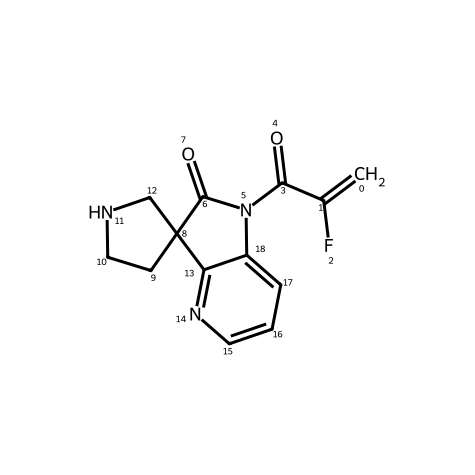 C=C(F)C(=O)N1C(=O)C2(CCNC2)c2ncccc21